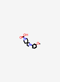 COc1cccc(N2CCC3(CCN(C(=O)O)CC3)C2)c1